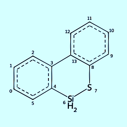 c1ccc2c(c1)[SiH2]Sc1ccccc1-2